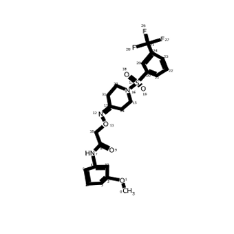 COc1cccc(NC(=O)CON=C2CCN(S(=O)(=O)c3cccc(C(F)(F)F)c3)CC2)c1